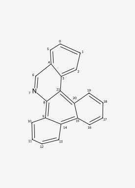 c1ccc2c(c1)cnc1c3ccccc3c3ccccc3c21